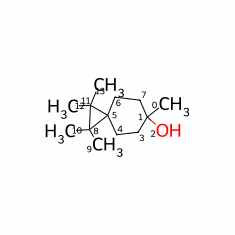 CC1(O)CCC2(CC1)C(C)(C)C2(C)C